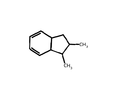 CC1CC2C=CC=CC2C1C